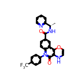 C[C@H](NC(=O)c1ccc2c(c1)c1c(c(=O)n2-c2ccc(C(F)(F)F)cc2)NC=CO1)c1ccccn1